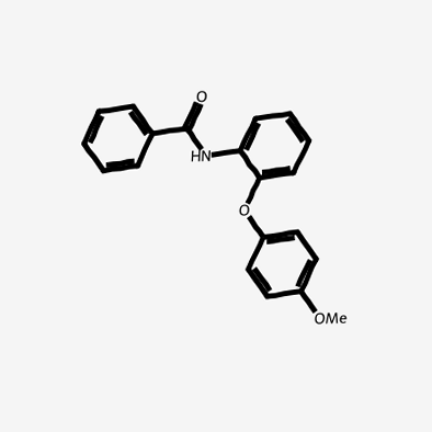 COc1ccc(Oc2ccccc2NC(=O)c2ccccc2)cc1